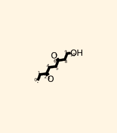 [CH2]CC(=O)CCC(=O)CCO